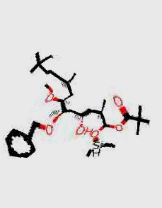 CO[C@@H](C[C@H](C)CC(C)(C)C)[C@H](OCc1ccccc1)[C@@H](O)C[C@@H](C)C(OC(=O)C(C)(C)C)O[SiH](C)C